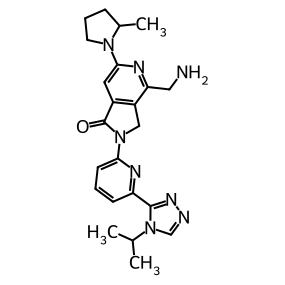 CC1CCCN1c1cc2c(c(CN)n1)CN(c1cccc(-c3nncn3C(C)C)n1)C2=O